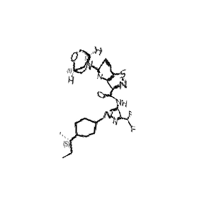 CC[C@H](C)C1CCC(n2cc(NC(=O)c3nsc4ccc(N5C[C@@H]6C[C@H]5CO6)nc34)c(C(F)F)n2)CC1